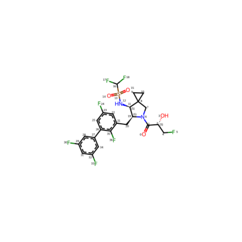 O=C([C@H](O)CF)N1CC2(CC2)[C@H](NS(=O)(=O)C(F)F)[C@@H]1Cc1cc(F)cc(-c2cc(F)cc(F)c2)c1F